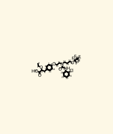 CCOC(Cc1ccc(OCCN(CCCOC(F)(F)C(F)(F)F)C(=O)Nc2ccccc2Cl)cc1)C(=O)O